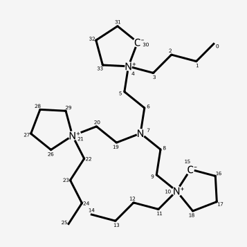 CCCC[N+]1(CCN(CC[N+]2(CCCC)[CH-]CCC2)CC[N+]2(CCCC)CCCC2)[CH-]CCC1